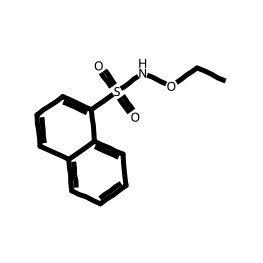 CCONS(=O)(=O)c1cccc2ccccc12